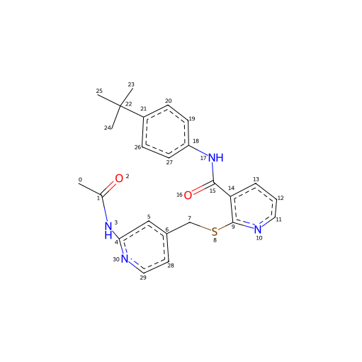 CC(=O)Nc1cc(CSc2ncccc2C(=O)Nc2ccc(C(C)(C)C)cc2)ccn1